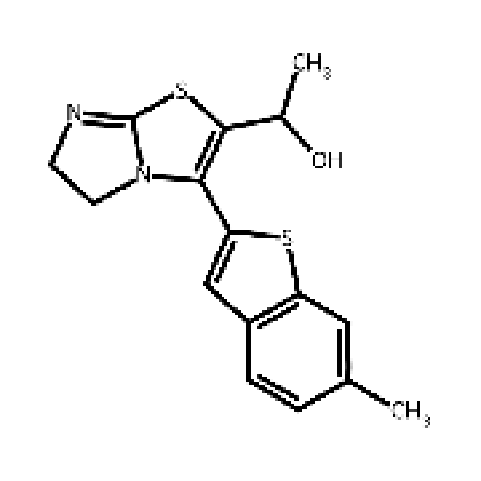 Cc1ccc2cc(C3=C(C(C)O)SC4=NCCN43)sc2c1